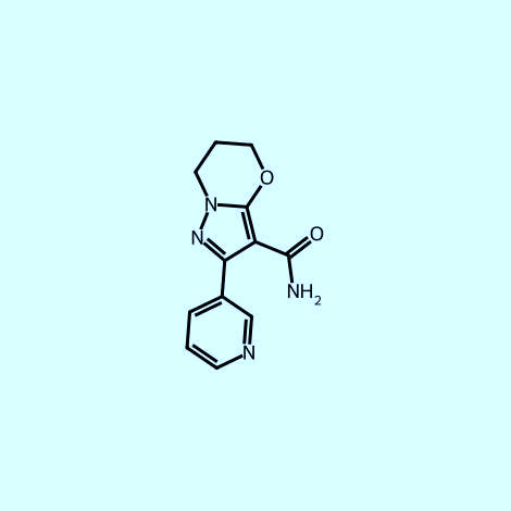 NC(=O)c1c(-c2cccnc2)nn2c1OCCC2